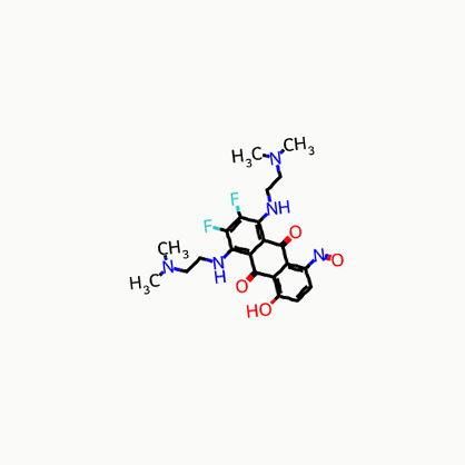 CN(C)CCNc1c(F)c(F)c(NCCN(C)C)c2c1C(=O)c1c(O)ccc(N=O)c1C2=O